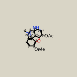 COc1ccc2c3c1OC1C(OC(C)=O)=CCC4(N)C(C2)N(C)CCC314